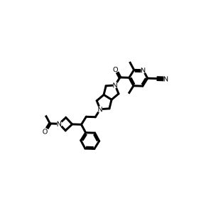 CC(=O)N1CC(C(CCN2CC3CN(C(=O)c4c(C)cc(C#N)nc4C)CC3C2)c2ccccc2)C1